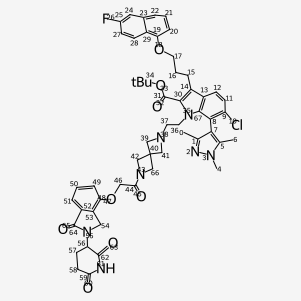 Cc1nn(C)c(C)c1-c1c(Cl)ccc2c(CCCOc3cccc4cc(F)ccc34)c(C(=O)OC(C)(C)C)n(CCN3CC4(C3)CN(C(=O)COc3cccc5c3CN(C3CCC(=O)NC3=O)C5=O)C4)c12